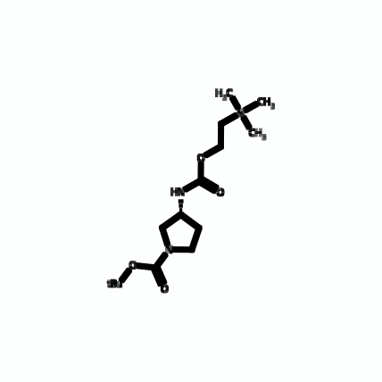 CC(C)(C)OC(=O)N1CC[C@@H](NC(=O)OCC[Si](C)(C)C)C1